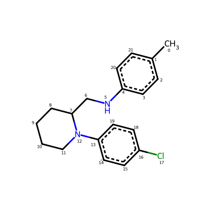 Cc1ccc(NCC2CCCCN2c2[c]cc(Cl)cc2)cc1